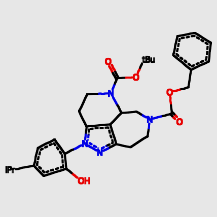 CC(C)c1ccc(-n2nc3c4c2CCN(C(=O)OC(C)(C)C)C4CN(C(=O)OCc2ccccc2)CC3)c(O)c1